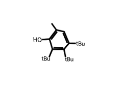 Cc1cc(C(C)(C)C)c(C(C)(C)C)c(C(C)(C)C)c1O